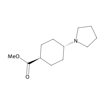 COC(=O)[C@H]1CC[C@H](N2CCCC2)CC1